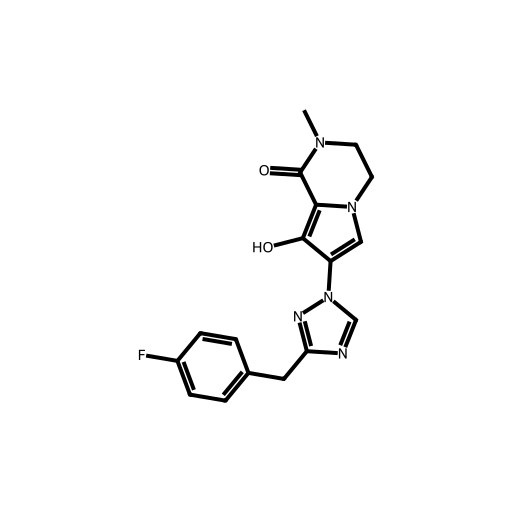 CN1CCn2cc(-n3cnc(Cc4ccc(F)cc4)n3)c(O)c2C1=O